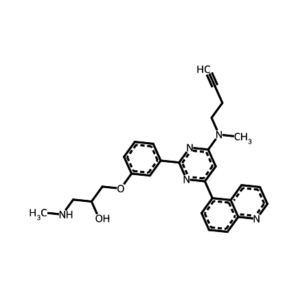 C#CCCN(C)c1cc(-c2cccc3ncccc23)nc(-c2cccc(OCC(O)CNC)c2)n1